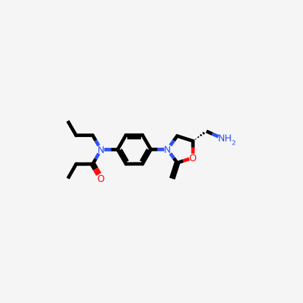 C=C1O[C@@H](CN)CN1c1ccc(N(CCC)C(=O)CC)cc1